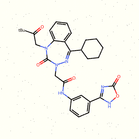 CC(C)(C)C(=O)CN1C(=O)N(CC(=O)Nc2cccc(-c3nc(=O)o[nH]3)c2)N=C(C2CCCCC2)c2ccccc21